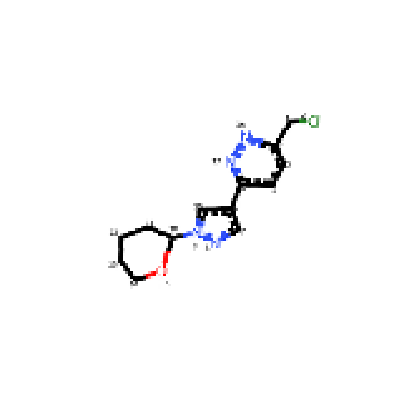 ClCc1ccc(-c2cnn(C3CCCCO3)c2)nn1